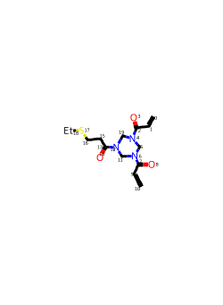 C=CC(=O)N1CN(C(=O)C=C)CN(C(=O)CCSCC)C1